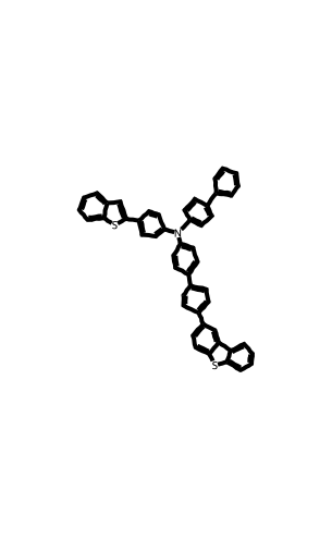 c1ccc(-c2ccc(N(c3ccc(-c4ccc(-c5ccc6sc7ccccc7c6c5)cc4)cc3)c3ccc(-c4cc5ccccc5s4)cc3)cc2)cc1